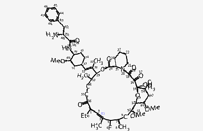 CCC1/C=C(\C)C(F)C(C)CC(OC)C2OC(O)(C(=O)C(=O)N3CCCCC3C(=O)OC(C(C)=CC3CCC(NC(=O)[C@@H](N)Cc4ccccc4)C(OC)C3)C(C)CCC1=O)C(C)CC2OC